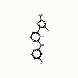 Cc1nc(N)sc1-c1ccnc(Nc2cccc(I)c2)n1